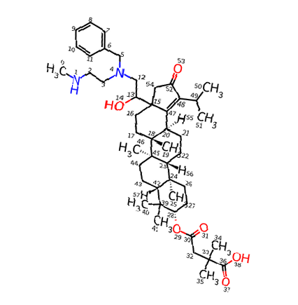 CNCCN(Cc1ccccc1)CC(O)C12CC[C@]3(C)[C@H](CC[C@@H]4[C@@]5(C)CC[C@H](OC(=O)CC(C)(C)C(=O)O)C(C)(C)[C@@H]5CC[C@]43C)C1=C(C(C)C)C(=O)C2